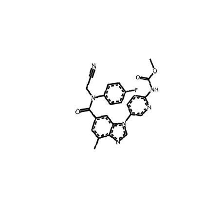 COC(=O)Nc1ccc(-n2cnc3c(C)cc(C(=O)N(CC#N)c4ccc(F)cc4)cc32)cn1